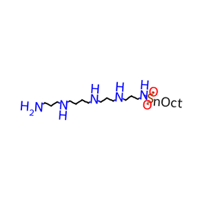 CCCCCCCCS(=O)(=O)NCCCNCCCNCCCCNCCCN